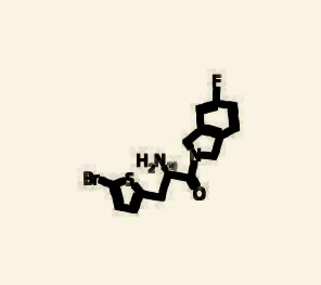 N[C@H](Cc1ccc(Br)s1)C(=O)N1Cc2ccc(F)cc2C1